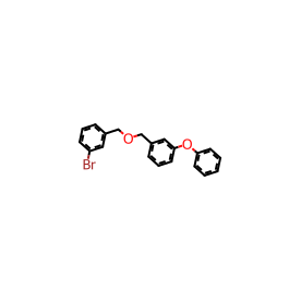 Brc1cccc(COCc2cccc(Oc3ccccc3)c2)c1